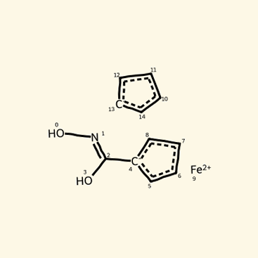 ON=C(O)[c-]1cccc1.[Fe+2].c1cc[cH-]c1